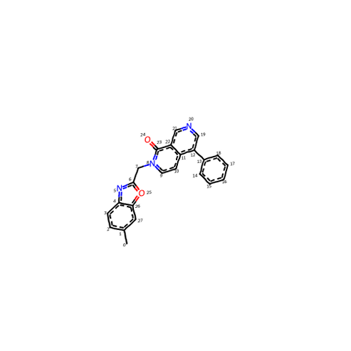 Cc1ccc2nc(Cn3ccc4c(-c5ccccc5)cncc4c3=O)oc2c1